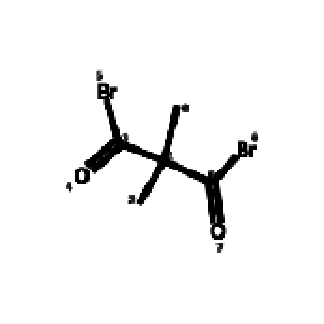 CC(C)(C(=O)Br)C(=O)Br